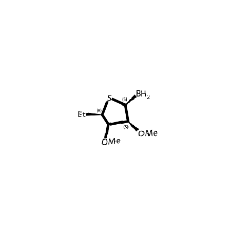 B[C@@H]1S[C@H](CC)C(OC)[C@@H]1OC